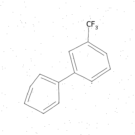 FC(F)(F)c1cc[c]c(-c2ccccc2)c1